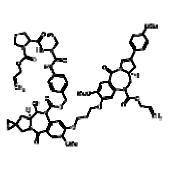 C=CCOC(=O)N1C[C@@H]2CC(c3ccc(OC)cc3)=CN2C(=O)c2cc(OC)c(OCCCOc3cc4c(cc3OC)C(=O)N3CC5(CC5)C[C@H]3C(O)N4C(=O)OCc3ccc(NC(=O)[C@H](CC(C)C)NC(=O)[C@@H]4CCCN4C(=O)OCC=C)cc3)cc21